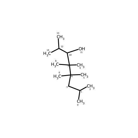 CC(C)CC(C)(C)C(C)(C)C(O)C(C)C